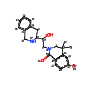 CC1(C)CN(CC(O)C2Cc3ccccc3CN2)C(=O)c2ccc(Br)cc21